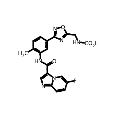 Cc1ccc(-c2noc(CNC(=O)O)n2)cc1NC(=O)c1cnc2ccc(F)cn12